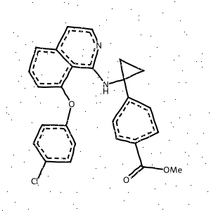 COC(=O)c1ccc(C2(Nc3nccc4cccc(Oc5ccc(Cl)cc5)c34)CC2)cc1